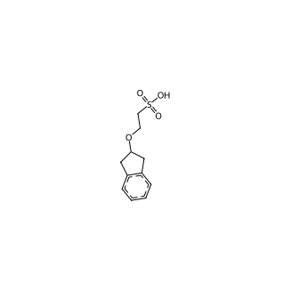 O=S(=O)(O)CCOC1Cc2ccccc2C1